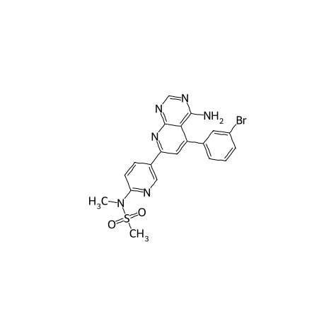 CN(c1ccc(-c2cc(-c3cccc(Br)c3)c3c(N)ncnc3n2)cn1)S(C)(=O)=O